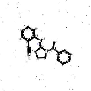 CC(c1ccccc1)N1CCC/C1=N\c1ccccc1C#N